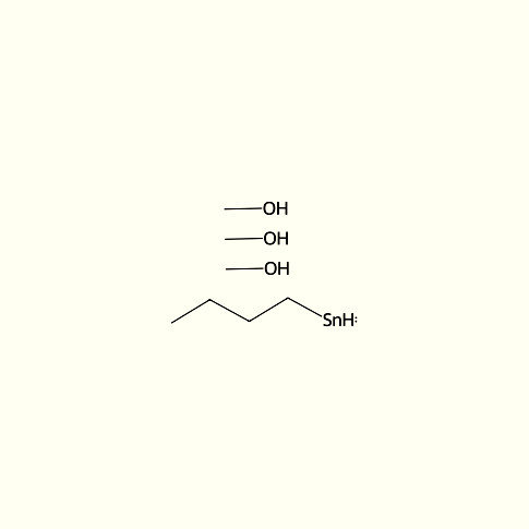 CCC[CH2][SnH].CO.CO.CO